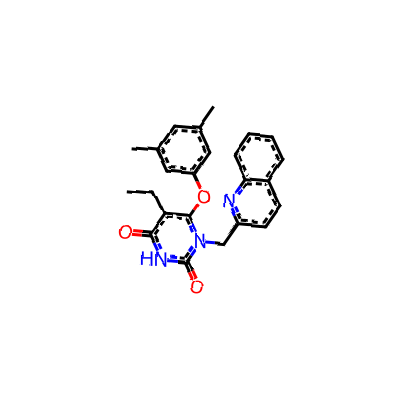 CCc1c(Oc2cc(C)cc(C)c2)n(Cc2ccc3ccccc3n2)c(=O)[nH]c1=O